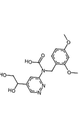 COc1ccc(CN(C(=O)O)c2cc(C(O)CO)cnn2)c(OC)c1